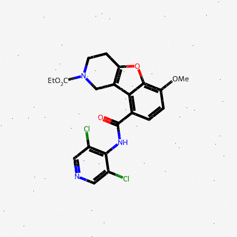 CCOC(=O)N1CCc2oc3c(OC)ccc(C(=O)Nc4c(Cl)cncc4Cl)c3c2C1